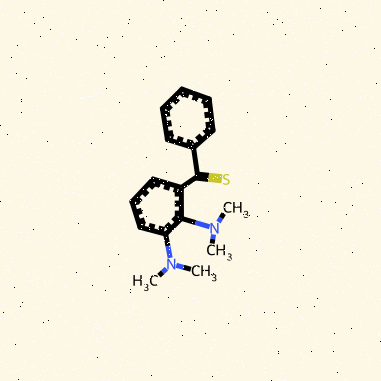 CN(C)c1cccc(C(=S)c2ccccc2)c1N(C)C